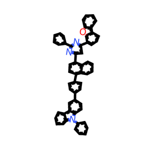 c1ccc(-c2nc(-c3ccc(-c4ccc(-c5ccc6c(c5)c5ccccc5n6-c5ccccc5)cc4)c4ccccc34)cc(-c3cccc4c3oc3ccccc34)n2)cc1